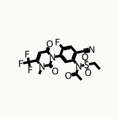 CCS(=O)(=O)N(C(C)=O)c1cc(-n2c(=O)cc(C(F)(F)F)n(C)c2=O)c(F)cc1C#N